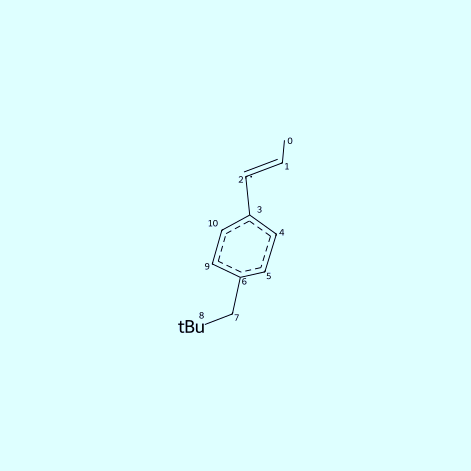 C/C=[C]/c1ccc(CC(C)(C)C)cc1